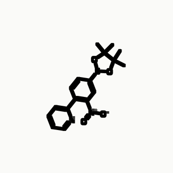 CC1(C)OB(c2ccc(-c3ccccn3)c([N+](=O)[O-])c2)OC1(C)C